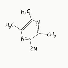 Cc1nc(C)c(C#N)nc1C